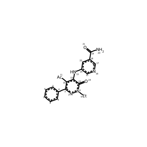 CCn1nc(-c2ccccc2)c(C(C)=O)c(Nc2cncc(C(N)=O)c2)c1=O